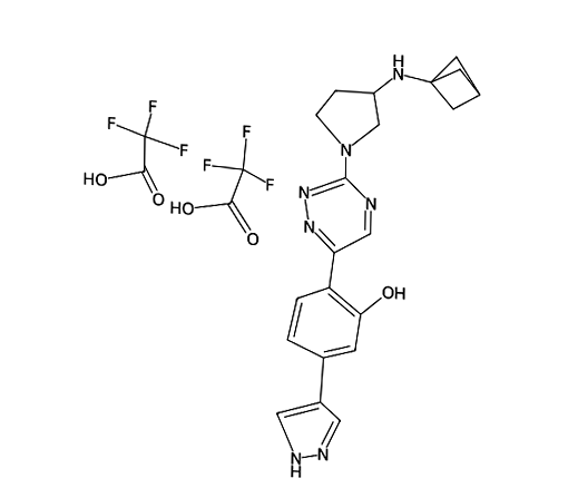 O=C(O)C(F)(F)F.O=C(O)C(F)(F)F.Oc1cc(-c2cn[nH]c2)ccc1-c1cnc(N2CCC(NC34CC(C3)C4)C2)nn1